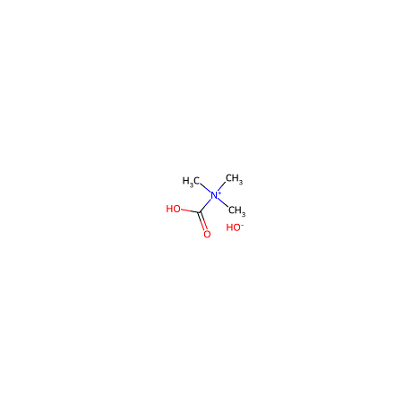 C[N+](C)(C)C(=O)O.[OH-]